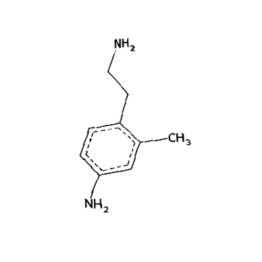 Cc1cc(N)ccc1CCN